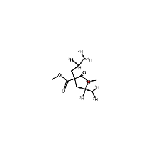 [2H]C([2H])C([2H])([2H])CC(CC([2H])([2H])C([2H])[2H])(C(=O)OC)C(=O)OC